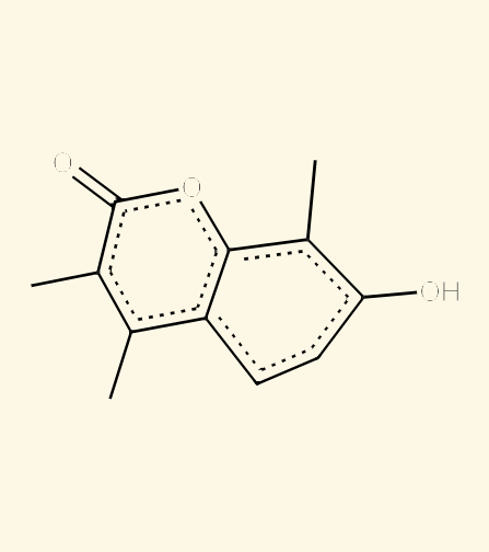 Cc1c(C)c2ccc(O)c(C)c2oc1=O